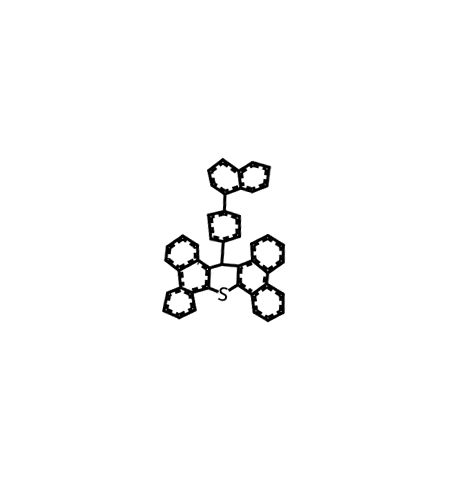 c1ccc2c(-c3ccc(C4c5c(c6ccccc6c6ccccc56)Sc5c4c4ccccc4c4ccccc54)cc3)cccc2c1